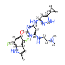 Cc1cc2c(F)c(Oc3nc(NCCN(C)C)cc(Nc4cc(C5CC5)[nH]n4)n3)cc(F)c2[nH]1